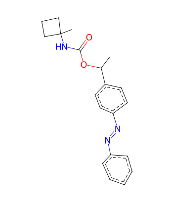 CC(OC(=O)NC1(C)CCC1)c1ccc(N=Nc2ccccc2)cc1